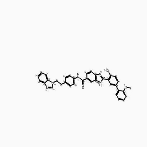 COc1ncccc1-c1ccc(O)c(-c2nc3ccc(C(=O)Nc4ccc(CCn5cnc6ccccc65)cc4)cc3[nH]2)c1